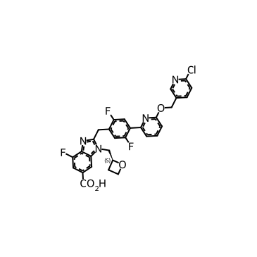 O=C(O)c1cc(F)c2nc(Cc3cc(F)c(-c4cccc(OCc5ccc(Cl)nc5)n4)cc3F)n(C[C@@H]3CCO3)c2c1